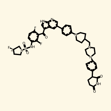 O=C1CCC(c2ccc(N3CCN(CC4CCN(c5ccc(-c6cnc7[nH]cc(C(=O)c8c(F)ccc(NS(=O)(=O)N9CC[C@@H](F)C9)c8F)c7c6)cc5)CC4)CC3)cc2)C(=O)N1